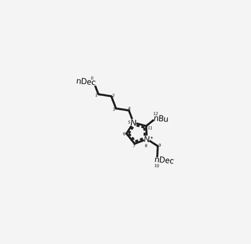 CCCCCCCCCCCCCCn1cc[n+](CCCCCCCCCCC)c1CCCC